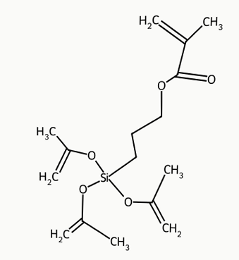 C=C(C)O[Si](CCCOC(=O)C(=C)C)(OC(=C)C)OC(=C)C